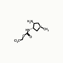 CN1C[C@@H](N)[C@@H](NC(=O)OCC(Cl)(Cl)Cl)C1